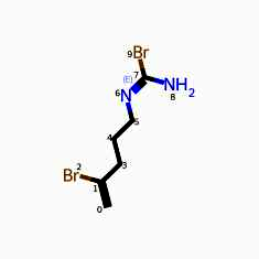 C=C(Br)CCC/N=C(\N)Br